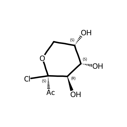 CC(=O)[C@]1(Cl)OC[C@H](O)[C@H](O)[C@H]1O